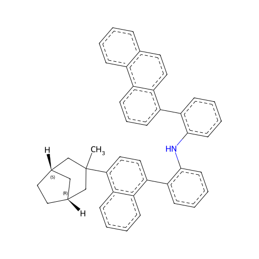 CC1(c2ccc(-c3ccccc3Nc3ccccc3-c3cccc4c3ccc3ccccc34)c3ccccc23)C[C@@H]2CC[C@@H](C2)C1